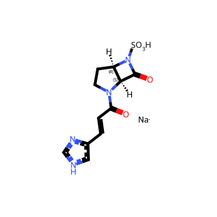 O=C(C=Cc1c[nH]cn1)N1CC[C@@H]2[C@H]1C(=O)N2S(=O)(=O)O.[Na]